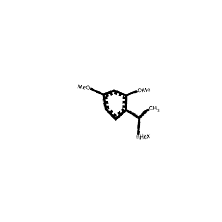 CCCCCCC(C)c1ccc(OC)cc1OC